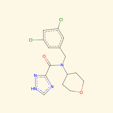 O=C(c1nc[nH]n1)N(Cc1cc(Cl)cc(Cl)c1)C1CCOCC1